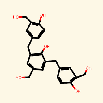 OCc1cc(Cc2ccc(O)c(CO)c2)c(O)c(Cc2ccc(O)c(CO)c2)c1